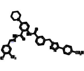 O=C(O)c1ccc(-c2cn(Cc3cccc(C(=O)Nc4ccc(N5CCCCC5)cc4C(=O)N/N=C/c4ccc(Cl)c(C(F)(F)F)c4)c3)nn2)cc1